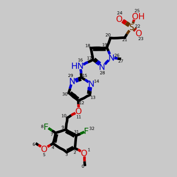 COc1cc(OC)c(F)c(COc2cnc(Nc3cc(CCS(=O)(=O)O)n(C)n3)nc2)c1F